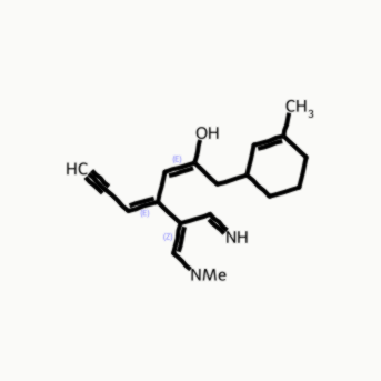 C#C/C=C(\C=C(\O)CC1C=C(C)CCC1)C(/C=N)=C/NC